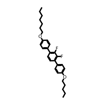 CCCCCCCOc1ccc(-c2ccc(-c3ccc(OCCCCC)cc3)c(F)c2F)cc1